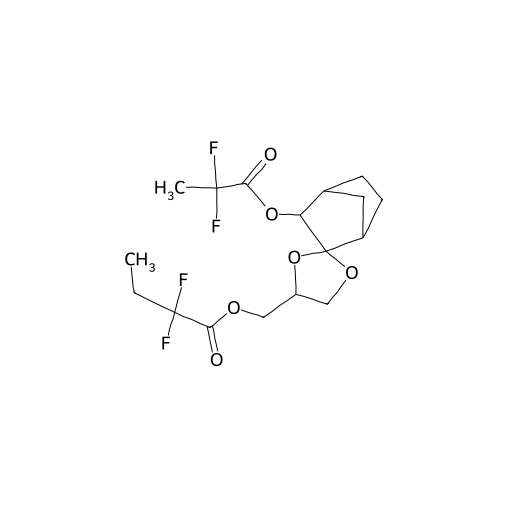 CCC(F)(F)C(=O)OCC1COC2(O1)C1CCC(C1)C2OC(=O)C(C)(F)F